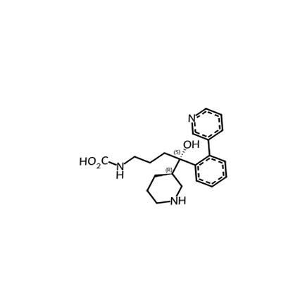 O=C(O)NCCC[C@@](O)(c1ccccc1-c1cccnc1)[C@@H]1CCCNC1